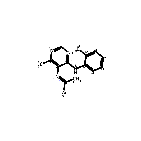 CC(=O)/C(C)=N/c1c(C)ncnc1Nc1ccccc1C